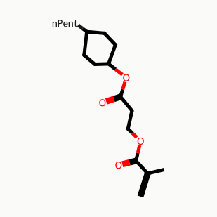 C=C(C)C(=O)OCCC(=O)OC1CCC(CCCCC)CC1